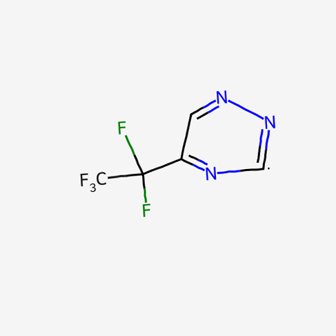 FC(F)(F)C(F)(F)c1cnn[c]n1